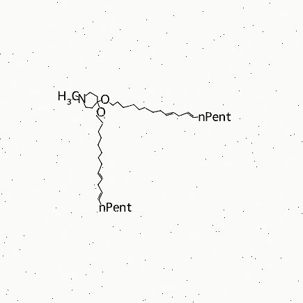 CCCCCC=CCC=CCCCCCCCCOC1(OCCCCCCCCC=CCC=CCCCCC)CCN(C)CC1